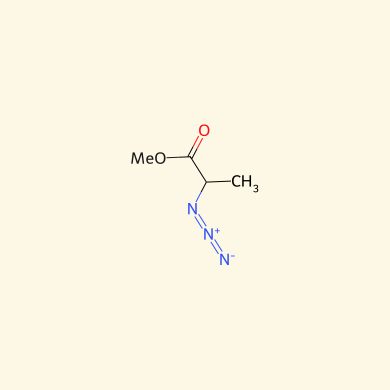 COC(=O)C(C)N=[N+]=[N-]